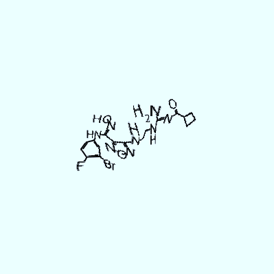 N/C(=N\C(=O)C1CCC1)NCCNc1nonc1/C(=N/O)Nc1ccc(F)c(Br)c1